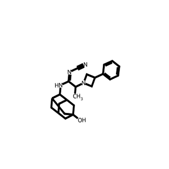 CC(/C(=N\C#N)NC1C2CC3CC1CC(O)(C3)C2)N1CC(c2ccccc2)C1